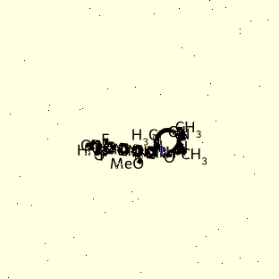 COC[C@@H]1CN(C2CCN(c3cc(F)c([C@H]4CCC(=O)NC4=O)c(F)c3)CC2)CCN1c1ccc2c(c1)N1C[C@H](C)CCCOc3c(cnn3C)-c3cc(cc(C)n3)C(=O)/N=C/1N2